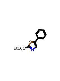 CCOC(=O)c1ncc(-c2ccccc2)s1